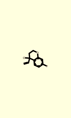 C=CC1(Cl)CCOc2cc(F)ccc21